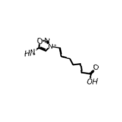 [NH-]c1c[n+](CCCCCCC(=O)O)no1